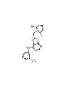 FC(F)(F)c1cccc(Nc2ncnc3sc(Cc4c(Cl)cccc4Cl)nc23)c1